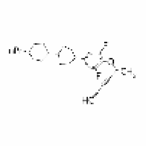 C#CC#CC(C)Oc1c(F)cc(C2CCC(C3CCC(CCC)CC3)CC2)cc1F